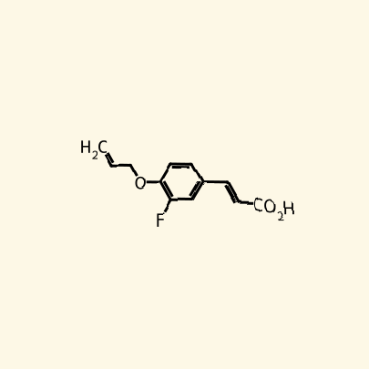 C=CCOc1ccc(C=CC(=O)O)cc1F